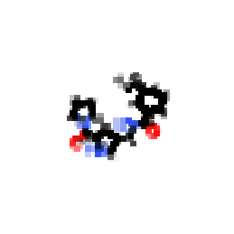 Cc1cccc(C(=O)NC[C@@H]2CN[C@H](C(=O)N3CCCC3)C2)c1